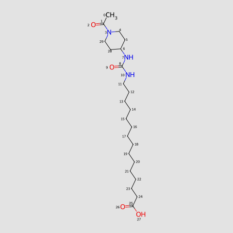 CC(=O)N1CCC(NC(=O)NCCCCCCCCCCCCCCC(=O)O)CC1